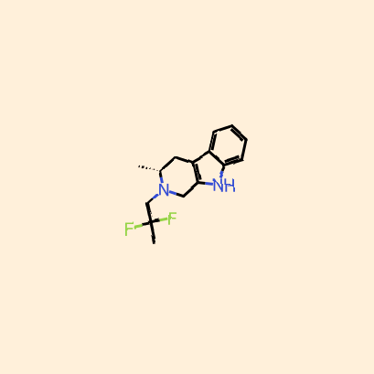 C[C@@H]1Cc2c([nH]c3ccccc23)CN1CC(C)(F)F